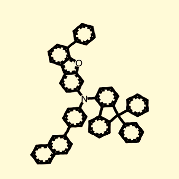 c1ccc(-c2cccc3c2oc2cc(N(c4ccc(-c5ccc6ccccc6c5)cc4)c4cccc5c4-c4ccccc4C5(c4ccccc4)c4ccccc4)ccc23)cc1